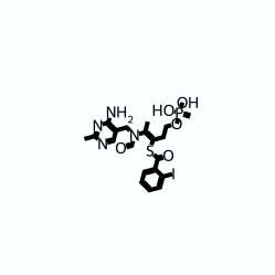 C=P(O)(O)OCC/C(SC(=O)c1ccccc1I)=C(\C)N(C=O)Cc1cnc(C)nc1N